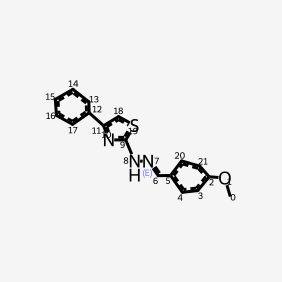 COc1ccc(/C=N/Nc2nc(-c3ccccc3)cs2)cc1